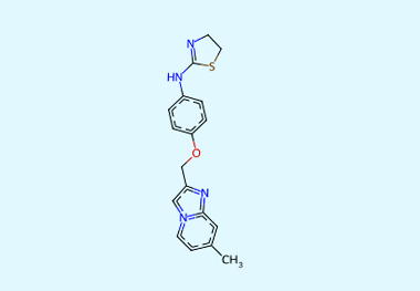 Cc1ccn2cc(COc3ccc(NC4=NCCS4)cc3)nc2c1